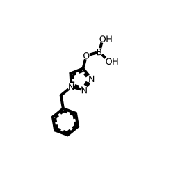 OB(O)Oc1cn(Cc2ccccc2)nn1